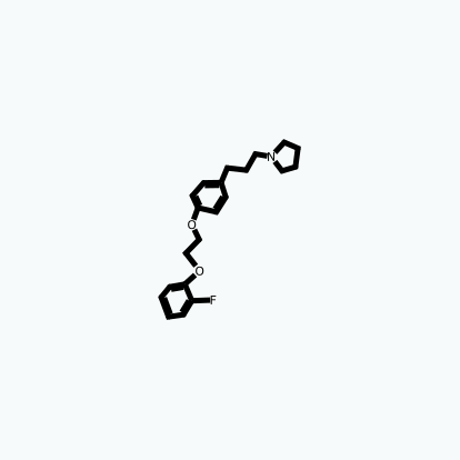 Fc1ccccc1OCCOc1ccc(CCCN2CCCC2)cc1